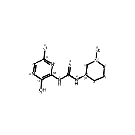 CCN1CCC[C@@H](NC(=S)Nc2nc(Cl)cnc2O)C1